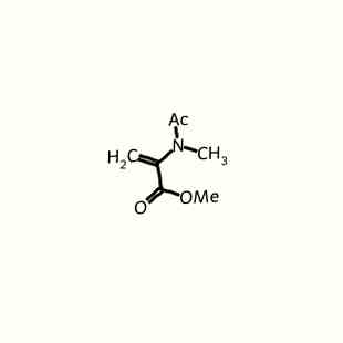 C=C(C(=O)OC)N(C)C(C)=O